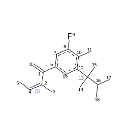 C=C(/C(C)=C\C)c1cc(F)c(C)c(C(C)(C)C(C)C)c1